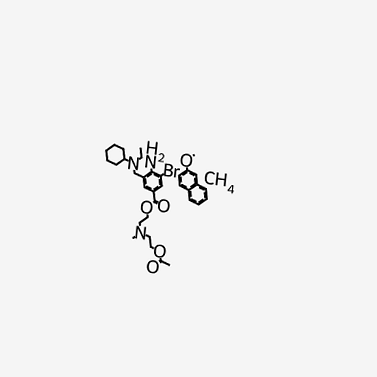 C.CCN(Cc1cc(C(=O)OCCN(C)CCOC(C)=O)cc(Br)c1N)C1CCCCC1.COc1ccc2ccccc2c1